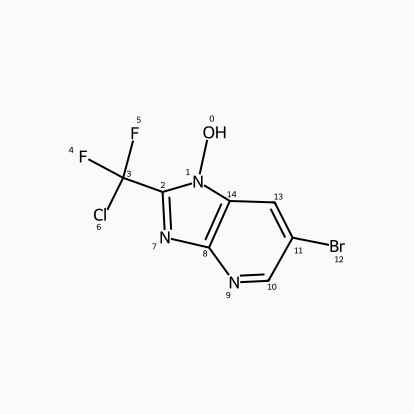 On1c(C(F)(F)Cl)nc2ncc(Br)cc21